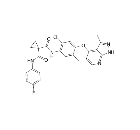 Cc1cc(NC(=O)C2(C(=O)Nc3ccc(F)cc3)CC2)c(Cl)cc1Oc1ccnc2[nH]nc(C)c12